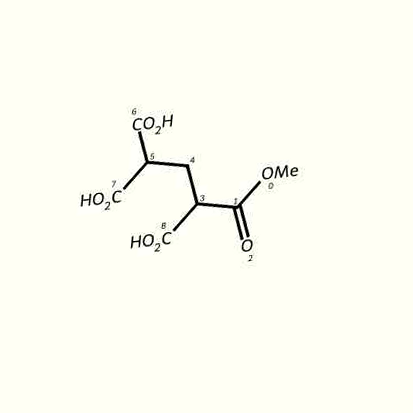 COC(=O)C(CC(C(=O)O)C(=O)O)C(=O)O